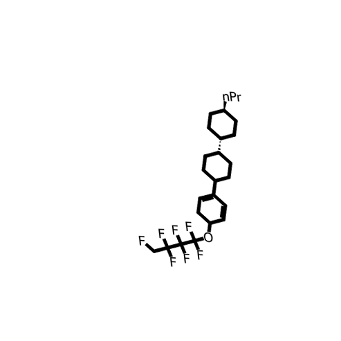 CCC[C@H]1CC[C@H](C2CCC(C3=CCC(OC(F)(F)C(F)(F)C(F)(F)CF)C=C3)CC2)CC1